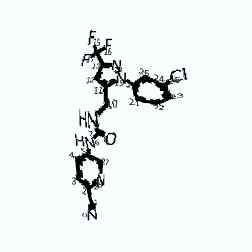 N#Cc1ccc(NC(=O)NCc2cc(C(F)(F)F)nn2-c2cccc(Cl)c2)cn1